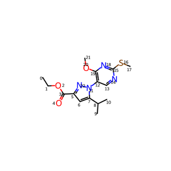 CCOC(=O)c1cc(C(C)C)n(-c2cnc(SC)nc2OC)n1